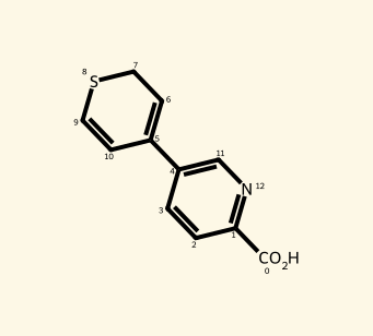 O=C(O)c1ccc(C2=CCSC=C2)cn1